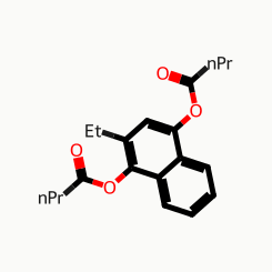 CCCC(=O)Oc1cc(CC)c(OC(=O)CCC)c2ccccc12